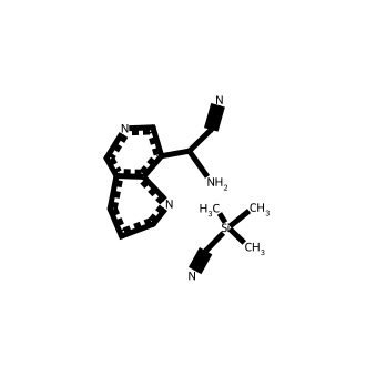 C[Si](C)(C)C#N.N#CC(N)c1cncc2cccnc12